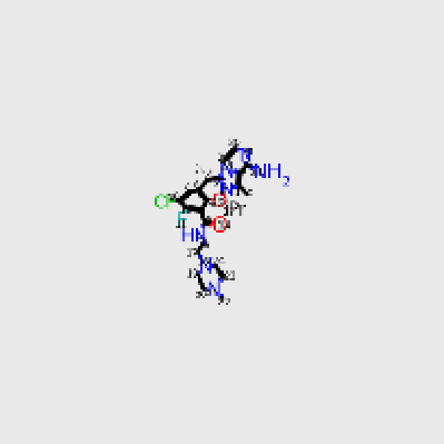 Cc1nc([C@@H](C)c2cc(Cl)c(F)c(C(=O)NCCN3CCN(C)CC3)c2OC(C)C)n2ccnc(N)c12